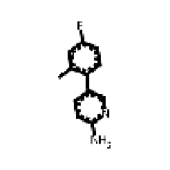 Cc1cc(F)ccc1-c1ccc(N)nc1